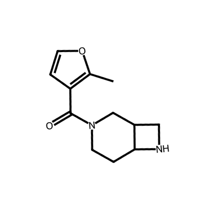 Cc1occc1C(=O)N1CCC2NCC2C1